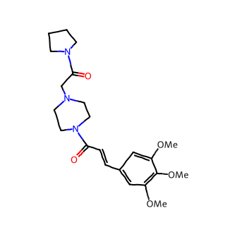 COc1cc(C=CC(=O)N2CCN(CC(=O)N3CCCC3)CC2)cc(OC)c1OC